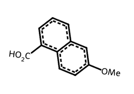 COc1ccc2c(C(=O)O)cccc2c1